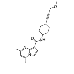 COCC#CC1CCC(NC(=O)c2ccn3c(C)cc(C)nc23)CC1